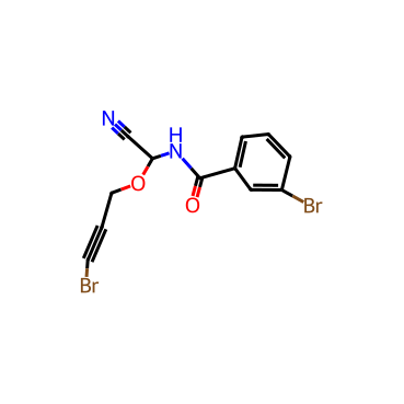 N#CC(NC(=O)c1cccc(Br)c1)OCC#CBr